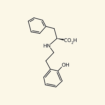 O=C(O)[C@H](Cc1ccccc1)NCCc1ccccc1O